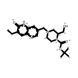 CCc1cc2ncc(CN3CCN(C(=O)OC(C)(C)C)C(CO)C3)cc2[nH]c1=O